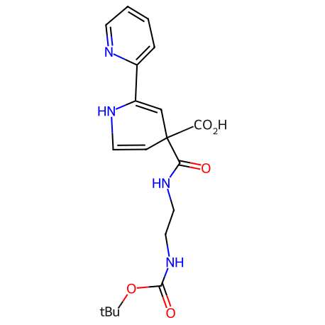 CC(C)(C)OC(=O)NCCNC(=O)C1(C(=O)O)C=CNC(c2ccccn2)=C1